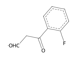 O=[C]CC(=O)c1ccccc1F